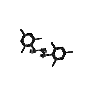 Cc1cc(C)c([SiH2][SiH2][SiH2]c2c(C)cc(C)cc2C)c(C)c1